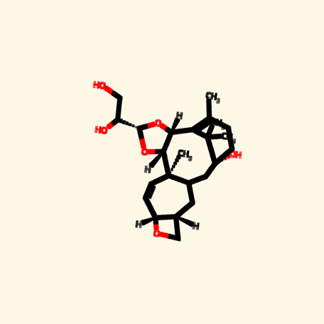 CC1=C2[C@H]3O[C@@H](C(O)CO)O[C@H]3[C@]3(C)C=C[C@H]4OC[C@H]4CC3C[C@](O)(CC1)C2(C)C